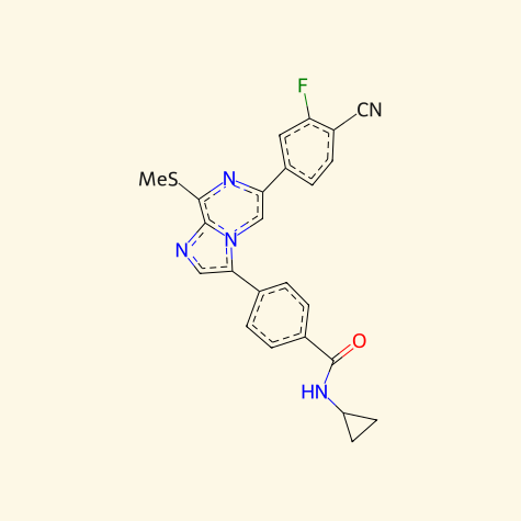 CSc1nc(-c2ccc(C#N)c(F)c2)cn2c(-c3ccc(C(=O)NC4CC4)cc3)cnc12